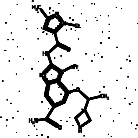 CCCn1c(NC(=O)c2cc(C)nn2CC)nc2cc(C(N)=O)cc(OC(C)C3CNC3)c21